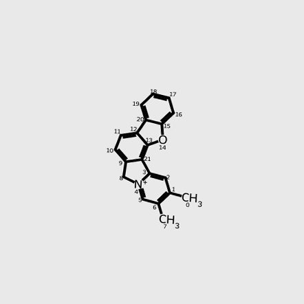 Cc1cc2[n+](cc1C)Cc1ccc3c(oc4ccccc43)c1-2